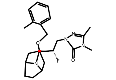 Cc1ccccc1COC1(C)CC2CCC(C1)N2C[C@@H](F)Cn1nc(C)n(C)c1=O